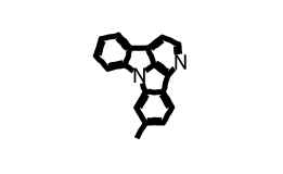 Cc1ccc2c3nccc4c5ccccc5n(c2c1)c43